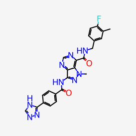 Cc1cc(CNC(=O)c2ncnc3c(NC(=O)c4ccc(-c5nnc[nH]5)cc4)nn(C)c23)ccc1F